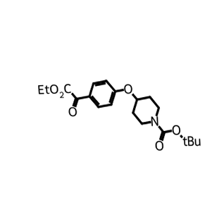 CCOC(=O)C(=O)c1ccc(OC2CCN(C(=O)OC(C)(C)C)CC2)cc1